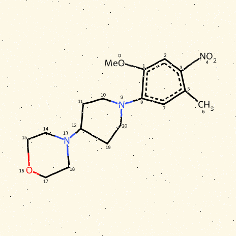 COc1cc([N+](=O)[O-])c(C)cc1N1CCC(N2CCOCC2)CC1